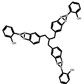 Oc1ccccc1-n1n2c3ccc(CC(Cc4ccc5c(c4)n4n(-c6ccccc6O)n54)Cc4ccc5c(c4)n4n(-c6ccccc6O)n54)cc3n12